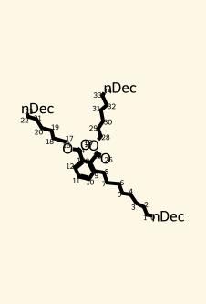 CCCCCCCCCCCCCCCCCCc1cccc(C(=O)OCCCCCCCCCCCCCCCC)c1C(=O)OCCCCCCCCCCCCCCCC